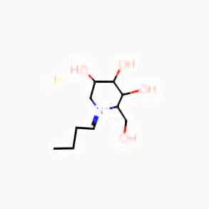 CCCC=[N+]1CC(O)C(O)C(O)C1CO.[Br-]